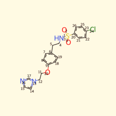 O=S(=O)(NCCc1ccc(OCCn2ccnc2)cc1)c1ccc(Cl)cc1